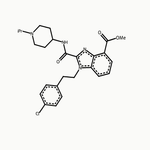 COC(=O)c1cccc2c1nc(C(=O)NC1CCN(C(C)C)CC1)n2CCc1ccc(Cl)cc1